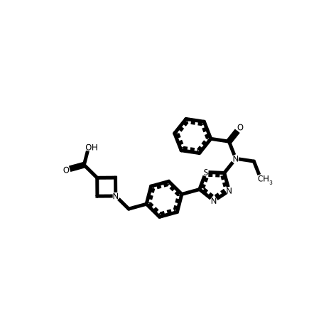 CCN(C(=O)c1ccccc1)c1nnc(-c2ccc(CN3CC(C(=O)O)C3)cc2)s1